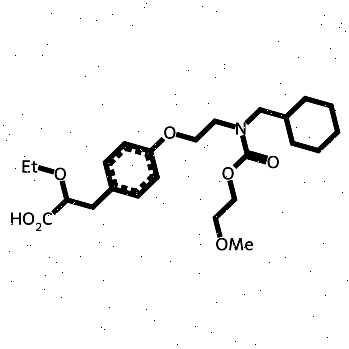 CCOC(Cc1ccc(OCCN(CC2CCCCC2)C(=O)OCCOC)cc1)C(=O)O